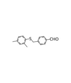 Cc1ccc(SCc2ccc(C=O)cc2)c(C)c1